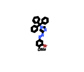 COc1ccc(N=Nc2cn(C(c3ccccc3)(c3ccccc3)c3ccccc3)cn2)cc1Br